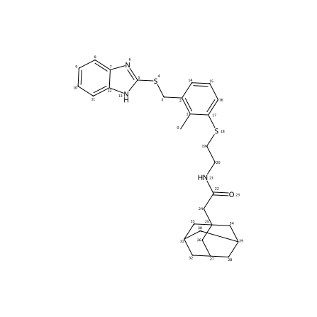 Cc1c(CSc2nc3ccccc3[nH]2)cccc1SCCNC(=O)CC12CC3CC(CC(C3)C1)C2